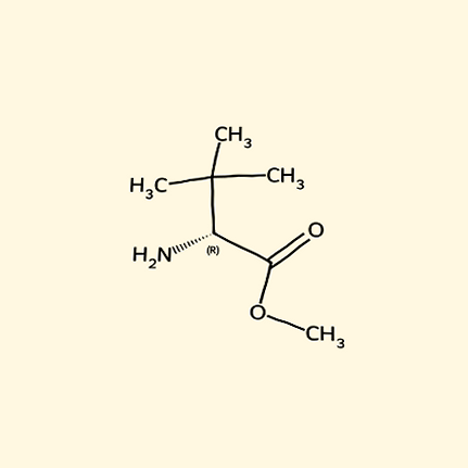 COC(=O)[C@H](N)C(C)(C)C